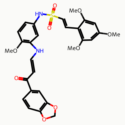 COc1cc(OC)c(C=CS(=O)(=O)Nc2ccc(OC)c(NC=CC(=O)c3ccc4c(c3)OCO4)c2)c(OC)c1